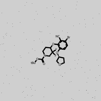 CC(C)(C)OC(=O)N1CCC(Oc2c(O[C@H]3CCOC3)ccc(Br)c2C#N)C(F)(F)C1